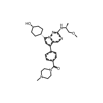 COC[C@H](C)Nc1ncc2c(-c3ccc(C(=O)N4CCN(C)CC4)cc3)cc([C@H]3CC[C@H](O)CC3)n2n1